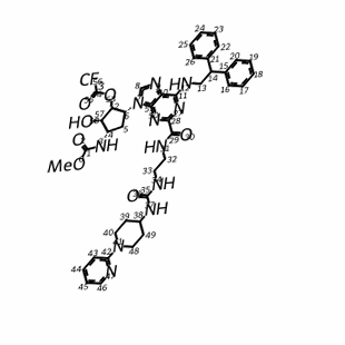 COC(=O)N[C@H]1C[C@@H](n2cnc3c(NCC(c4ccccc4)c4ccccc4)nc(C(=O)NCCNC(=O)NC4CCN(c5ccccn5)CC4)nc32)[C@H](OC(=O)C(F)(F)F)[C@@H]1O